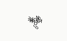 [2H]C([2H])([2H])c1ccc(-c2cc(C([2H])(C)C)ccn2)c2sc3cc4c(ccc5ccccc54)cc3c12